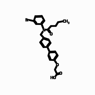 CCCCC(=O)N(Cc1ccc(-c2ccc(OCC(=O)O)cc2)cc1)c1cccc(Br)c1